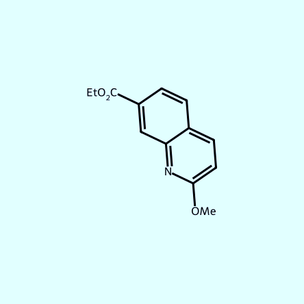 CCOC(=O)c1ccc2ccc(OC)nc2c1